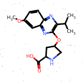 COc1ccc2nc(C(C)C)c(OC3CNC(C(=O)O)C3)nc2c1